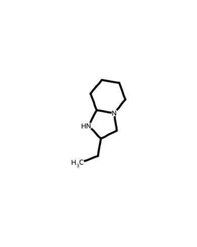 CCC1CN2CCCCC2N1